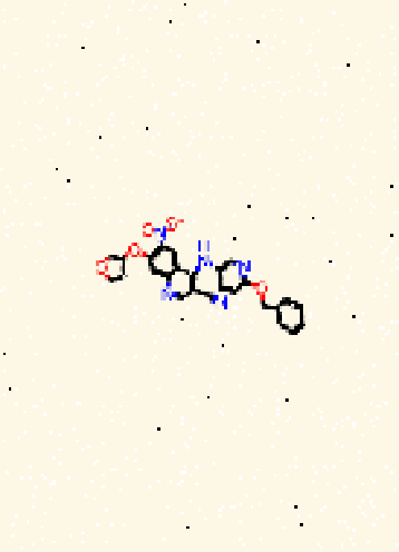 N#Cc1cnc2cc(OC3CCOC3)c([N+](=O)[O-])cc2c1Nc1ccc(OCc2ccccc2)nc1